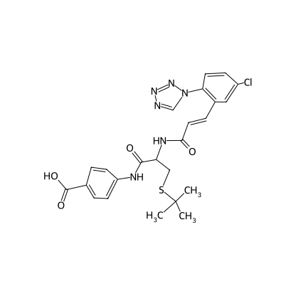 CC(C)(C)SCC(NC(=O)C=Cc1cc(Cl)ccc1-n1cnnn1)C(=O)Nc1ccc(C(=O)O)cc1